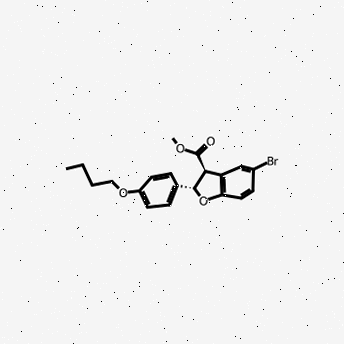 CCCCOc1ccc([C@H]2Oc3ccc(Br)cc3[C@@H]2C(=O)OC)cc1